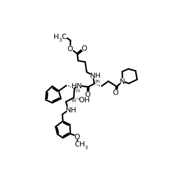 CCOC(=O)CCCN[C@H](CCC(=O)N1CCCCC1)C(=O)N[C@@H](Cc1ccccc1)[C@H](O)CNCc1cccc(OC)c1